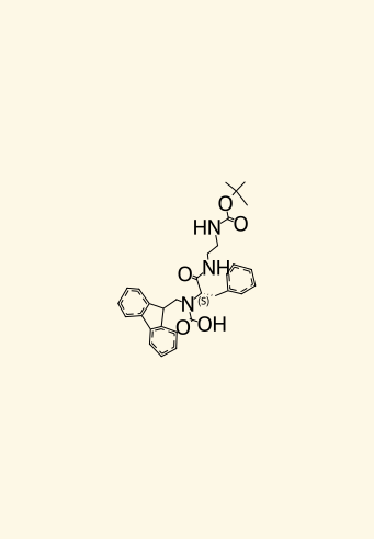 CC(C)(C)OC(=O)NCCNC(=O)[C@H](Cc1ccccc1)N(CC1c2ccccc2-c2ccccc21)C(=O)O